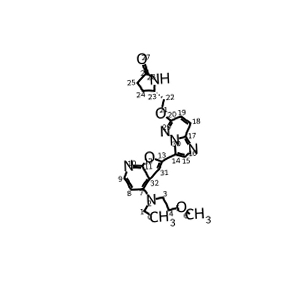 CCN(CCOC)c1ccnc2oc(-c3cnc4ccc(OC[C@@H]5CCC(=O)N5)nn34)cc12